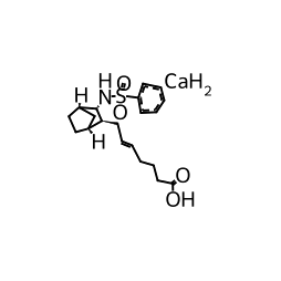 O=C(O)CCCC=CC[C@H]1[C@@H]2CC[C@@H](C2)[C@@H]1NS(=O)(=O)c1ccccc1.[CaH2]